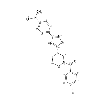 CN(C)c1ccc(-c2noc([C@H]3CCCN(C(=O)c4ccc(F)cc4)C3)n2)cc1